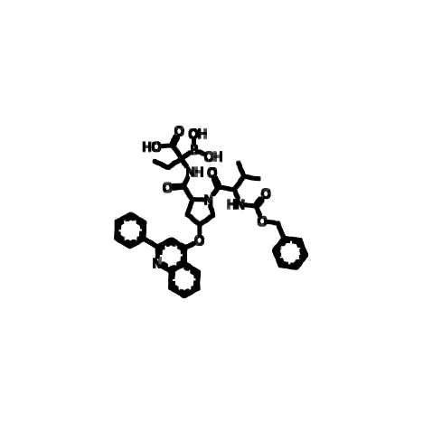 CCC(NC(=O)C1CC(Oc2cc(-c3ccccc3)nc3ccccc23)CN1C(=O)C(NC(=O)OCc1ccccc1)C(C)C)(B(O)O)C(=O)O